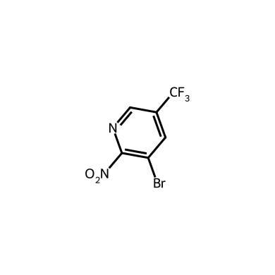 O=[N+]([O-])c1ncc(C(F)(F)F)cc1Br